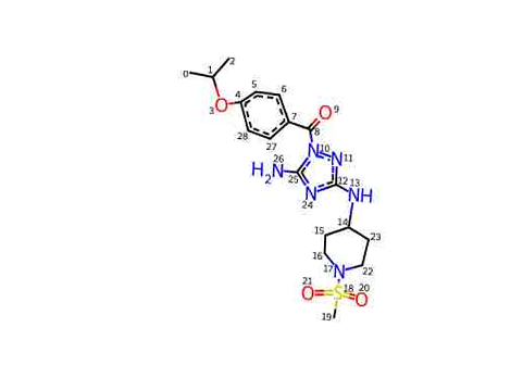 CC(C)Oc1ccc(C(=O)n2nc(NC3CCN(S(C)(=O)=O)CC3)nc2N)cc1